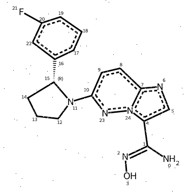 NC(=NO)c1cnc2ccc(N3CCC[C@@H]3c3cccc(F)c3)nn12